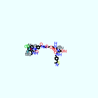 COc1cc(C(=O)NCCOCCOCC(=O)N[C@H](C(=O)N2C[C@H](O)C[C@H]2C(=O)NCc2ccc(-c3scnc3C)cc2)C(C)(C)C)ccc1NC(=O)[C@@H]1NC(CC(C)(C)C)C(C#N)(c2ccc(Cl)cc2F)C1c1cccc(Cl)c1F